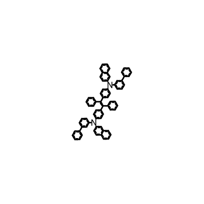 c1ccc(/C(=C(/c2ccccc2)c2ccc(N(c3cccc(-c4ccccc4)c3)c3ccc4ccccc4c3)cc2)c2ccc(N(c3cccc(-c4ccccc4)c3)c3ccc4ccccc4c3)cc2)cc1